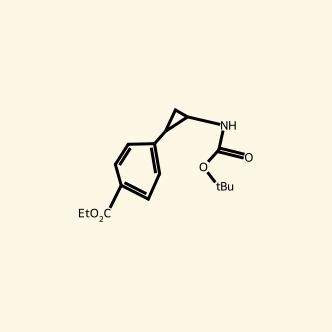 CCOC(=O)c1ccc(C2CC2NC(=O)OC(C)(C)C)cc1